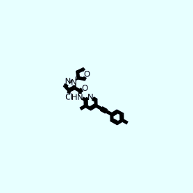 Cc1ccc(C#Cc2cnc(NC(=O)c3c(Cl)cnn3[C@H]3CCOC3)c(C)c2)cc1